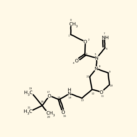 CCOC(=O)N(C=N)N1CCOC(CNC(=O)OC(C)(C)C)C1